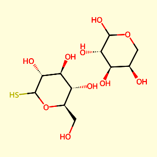 OC1OC[C@@H](O)[C@@H](O)[C@@H]1O.OC[C@H]1OC(S)[C@H](O)[C@@H](O)[C@@H]1O